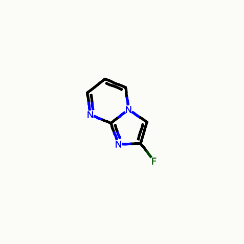 Fc1cn2cccnc2n1